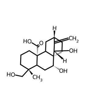 C=C1[C@H]2CC[C@]3(C(C2)[C@]2(C(=O)O)CCC[C@@](C)(CO)C2C[C@H]3O)[C@H]1O